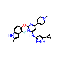 Cc1cc2c(F)c(Oc3nc(Nc4cc(C5CC5)[nH]n4)cc(C4=CCN(C)CC4)n3)ccc2[nH]1